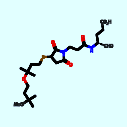 COC(C)(C)CCOC(C)(C)CCSC1CC(=O)N(CCC(=O)N[C@@H](C=O)CCC(=O)O)C1=O